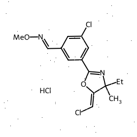 CCC1(C)N=C(c2cc(Cl)cc(C=NOC)c2)OC1=CCl.Cl